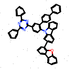 c1ccc(-c2ccc(-c3cc(-c4nc(-c5ccccc5)nc(-c5ccccc5)n4)ccc3-n3c4ccccc4c4ccc(-c5cccc6c5oc5ccccc56)cc43)cc2)cc1